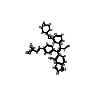 CC/C(=C(/c1ccc(/C=C/C(=O)O)cc1)c1ccc2[nH]ncc2c1F)c1cccc(OC2CCOCC2)c1